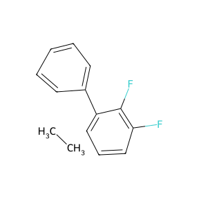 CC.Fc1cccc(-c2ccccc2)c1F